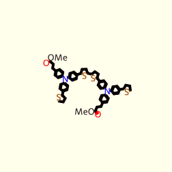 COC(=O)CCc1ccc(N(c2ccc(C3CCCS3)cc2)c2ccc(C3CCC(C4CCC(c5ccc(N(c6ccc(CCC(=O)OC)cc6)c6ccc(C7CCCS7)cc6)cc5)S4)S3)cc2)cc1